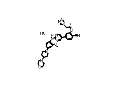 COc1cc(N2CCC(N3CCOCC3)CC2)ccc1Nc1ncc(-c2ccc(C#N)c(O[C@@H](C)Cn3cnnn3)c2)cn1.Cl